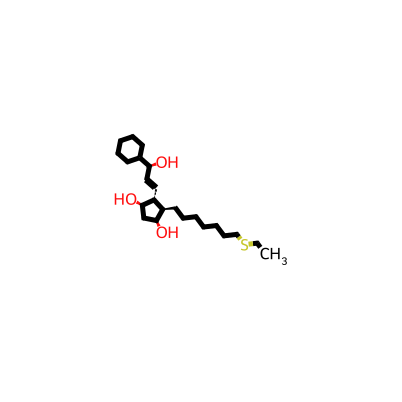 CCSCCCCCCC[C@@H]1[C@@H](/C=C/[C@H](O)C2CCCCC2)[C@H](O)C[C@@H]1O